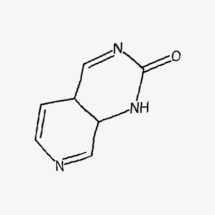 O=C1N=CC2C=CN=CC2N1